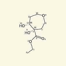 CCOC(=O)[C@]1(O)CCOCC[C@H]1O